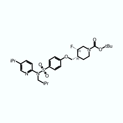 CC(C)CN(c1ccc(C(C)C)cn1)S(=O)(=O)c1ccc(OC[C@H]2CCN(C(=O)OC(C)(C)C)C[C@H]2F)cc1